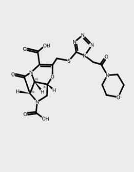 O=C(O)C1=C(CSc2nnnn2CC(=O)N2CCOCC2)O[C@@H]2CN(C(=O)O)[C@@H]3C(=O)N1[C@@H]32